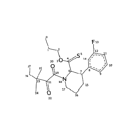 CCCOC(=S)C1C(c2cccc(F)c2)CCCN1C(=O)C(=O)C(C)(C)CC